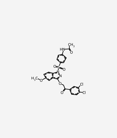 COc1ccc2c(c1)c(OCC(=O)c1ccc(Cl)c(Cl)c1)nn2S(=O)(=O)c1ccc(NC(C)=O)cc1